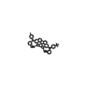 Cc1ccc(N(c2ccccc2)c2ccc3c4c(ccc3c2)-c2ccc3cc(N(c5ccccc5)c5ccc([Si](C)(C)C)cc5)ccc3c2C42c3ccc(C(C)(C)C)cc3-c3cc(C(C)(C)C)ccc32)cc1